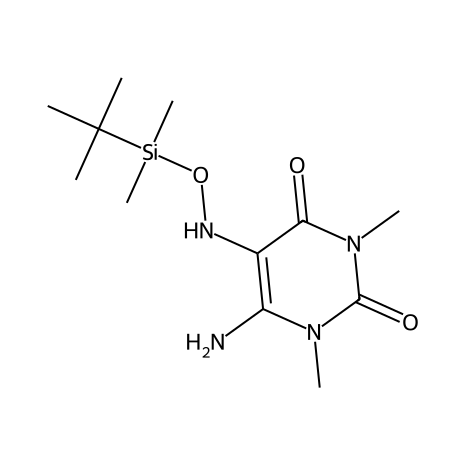 Cn1c(N)c(NO[Si](C)(C)C(C)(C)C)c(=O)n(C)c1=O